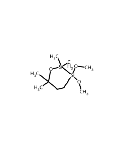 CO[Si]1(OC)CCC(C)(C)O[Si]1(C)C